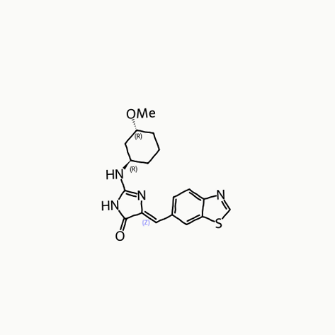 CO[C@@H]1CCC[C@@H](NC2=N/C(=C\c3ccc4ncsc4c3)C(=O)N2)C1